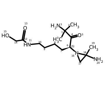 CC(C)(N)C(=O)[C@H](CCCCNC(=O)CO)N1CC1(C)N